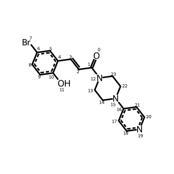 O=C(/C=C/c1cc(Br)ccc1O)N1CCN(c2ccncc2)CC1